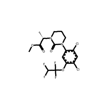 COC(=O)[C@H](C)N1CCCN(c2cc(OC(F)(F)C(F)F)c(Cl)cc2Cl)C1=O